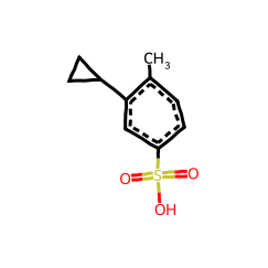 Cc1ccc(S(=O)(=O)O)cc1C1CC1